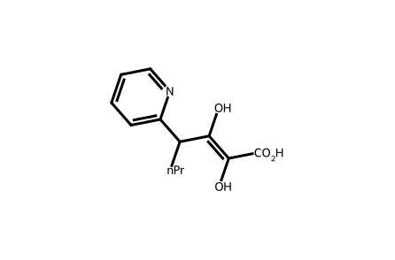 CCCC(C(O)=C(O)C(=O)O)c1ccccn1